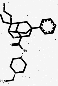 CCCC1(CC)C2CC3(C(=S)N[C@H]4CC[C@H](CN)CC4)CC1CC(c1ccccc1)(C2)C3